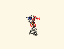 CN1CCC23c4c5ccc(O)c4OC2C(OS(=O)OC2CCC(c4ccccc4)(c4ccccc4)CC2)C=CC3C1C5